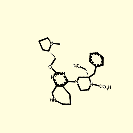 CN1CCC[C@H]1COc1nc2c(c(N3CCN(C(=O)O)[C@](CC#N)(Cc4ccccc4)C3)n1)CCCNC2